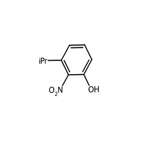 [CH2]C(C)c1cccc(O)c1[N+](=O)[O-]